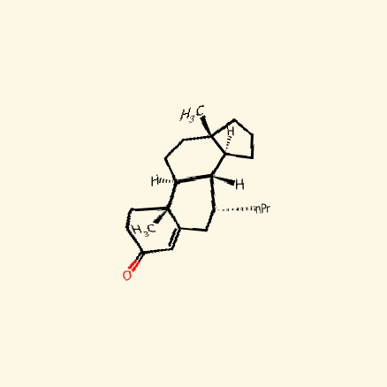 CCC[C@@H]1CC2=CC(=O)CC[C@]2(C)[C@H]2CC[C@]3(C)CCC[C@H]3[C@H]12